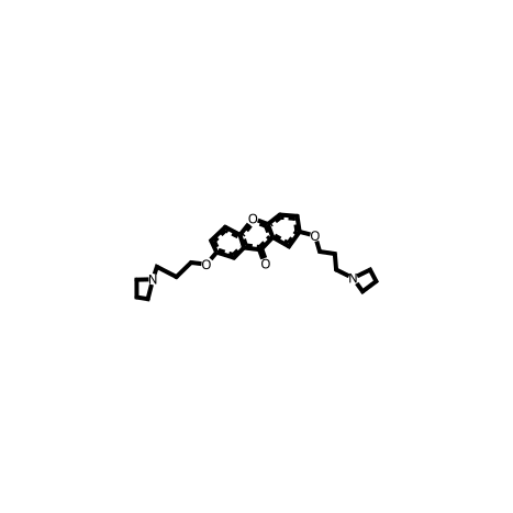 O=c1c2cc(OCCCN3CCC3)ccc2oc2ccc(OCCCN3CCC3)cc12